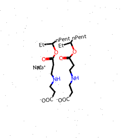 CCCCCC(CC)OC(=O)CCNCCC(=O)[O-].CCCCCC(CC)OC(=O)CCNCCC(=O)[O-].[Na+].[Na+]